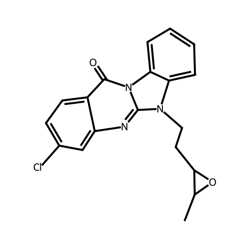 CC1OC1CCn1c2ccccc2n2c(=O)c3ccc(Cl)cc3nc12